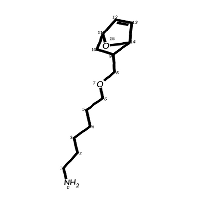 NCCCCCCOCC1CC2C=CC1O2